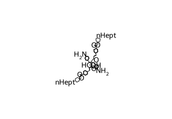 CCCCCCCC1CCC(OC(=O)c2ccc(/C=C/C(=O)CC(Cc3ccc(N)cc3)(Cc3ccc(N)cc3)C(O)(O)C(=O)/C=C/c3ccc(C(=O)OC4CCC(CCCCCCC)CC4)cc3)cc2)CC1